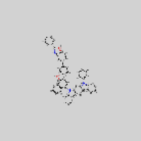 c1ccc(-c2nc3cc(-c4ccc5c(c4)oc4c6ccccc6c(-n6c7ccccc7c7cc8c9ccccc9n(-c9ccccc9)c8cc76)cc54)ccc3o2)cc1